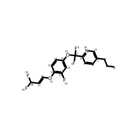 CCCc1ccc(C(F)(F)Oc2ccc(O/C=C/C(F)F)c(F)c2)nc1